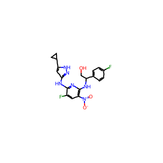 O=[N+]([O-])c1cc(F)c(Nc2cc(C3CC3)[nH]n2)nc1NC(CO)c1ccc(F)cc1